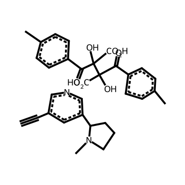 C#Cc1cncc(C2CCCN2C)c1.Cc1ccc(C(=O)C(O)(C(=O)O)C(O)(C(=O)O)C(=O)c2ccc(C)cc2)cc1